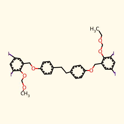 CCOCOc1c(I)cc(I)cc1COc1ccc(CCc2ccc(OCc3cc(I)cc(I)c3OCOC)cc2)cc1